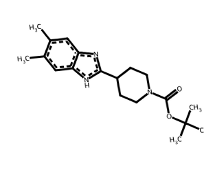 Cc1cc2nc(C3CCN(C(=O)OC(C)(C)C)CC3)[nH]c2cc1C